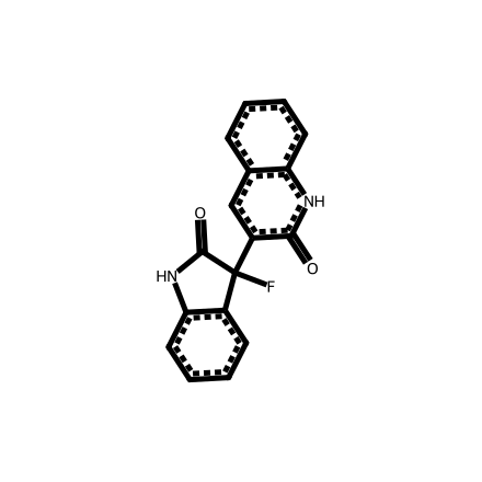 O=C1Nc2ccccc2C1(F)c1cc2ccccc2[nH]c1=O